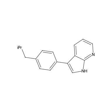 CC(C)Cc1ccc(-c2c[nH]c3ncccc23)cc1